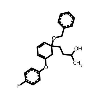 CC(O)CCC1(OCc2ccccc2)C=CC=C(Oc2ccc(F)cc2)C1